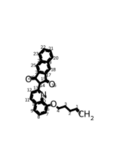 C=CCCCOc1cccc2ccc(C3C(=O)c4cc5ccccc5cc4C3=O)nc12